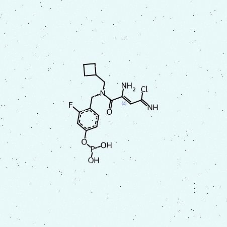 N=C(Cl)/C=C(\N)C(=O)N(Cc1ccc(OP(O)O)cc1F)CC1CCC1